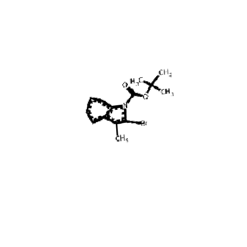 Cc1c(Br)n(C(=O)OC(C)(C)C)c2ccccc12